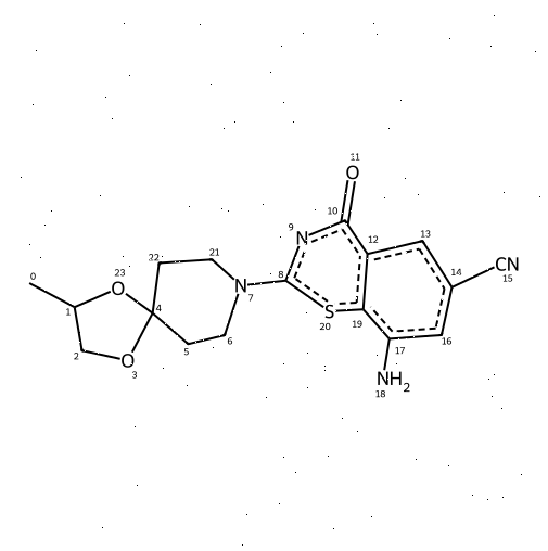 CC1COC2(CCN(c3nc(=O)c4cc(C#N)cc(N)c4s3)CC2)O1